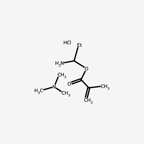 C=C(C)C(=O)OC(N)CC.CN(C)C.Cl